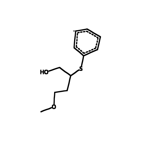 COCCC(CO)Sc1c[c]ccc1